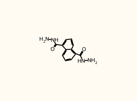 NNC(=O)c1cccc2c(C(=O)NN)cccc12